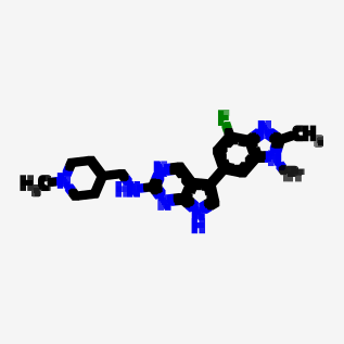 Cc1nc2c(F)cc(-c3c[nH]c4nc(NCC5CCN(C)CC5)ncc34)cc2n1C(C)C